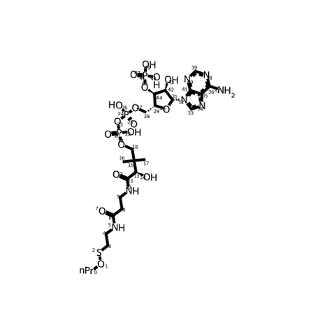 CCCOSCCNC(=O)CCNC(=O)[C@H](O)C(C)(C)COP(=O)(O)OP(=O)(O)OC[C@H]1O[C@@H](n2cnc3c(N)ncnc32)[C@H](O)[C@@H]1OP(=O)(O)O